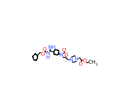 CCOC(=O)CN1CCN(CC2CN(c3ccc(C(=N)NC(=O)OCc4ccccc4)cc3)C(=O)O2)CC1